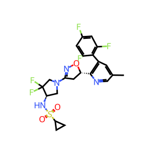 Cc1cnc([C@@H]2CC(N3C[C@@H](NS(=O)(=O)C4CC4)C(F)(F)C3)=NO2)c(-c2c(F)cc(F)cc2F)c1